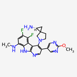 CNc1cc(F)c(F)c2c1[nH]c1ncc(-c3cnc(OC)nc3)c(N3CCC4(C[C@H]4N)C3)c12